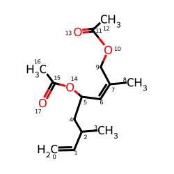 C=CC(C)CC(C=C(C)COC(C)=O)OC(C)=O